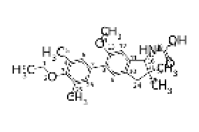 CCOc1c(C)cc(-c2cc3c(cc2OC)C(NC(=O)O)C(C)(C)C3)cc1C